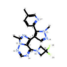 Cc1ccc(-c2c(-c3nc(C)n4ncnc(N5CC(F)(F)C5)c34)cnn2C)nc1